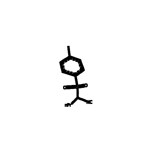 [C-]#[N+]C(CCC)S(=O)(=O)c1ccc(C)cc1